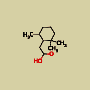 CC1CCCC(C)(C)C1CC(=O)O